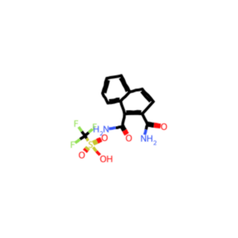 NC(=O)c1ccc2ccccc2c1C(N)=O.O=S(=O)(O)C(F)(F)F